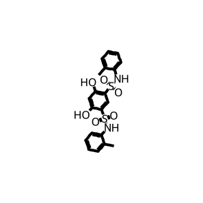 Cc1ccccc1NS(=O)(=O)c1cc(S(=O)(=O)Nc2ccccc2C)c(O)cc1O